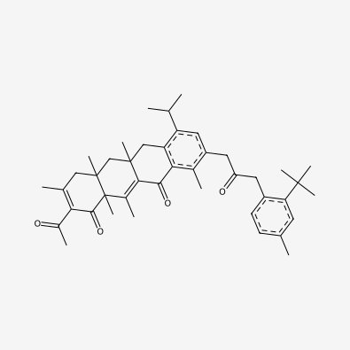 CC(=O)C1=C(C)CC2(C)CC3(C)Cc4c(C(C)C)cc(CC(=O)Cc5ccc(C)cc5C(C)(C)C)c(C)c4C(=O)C3=C(C)C2(C)C1=O